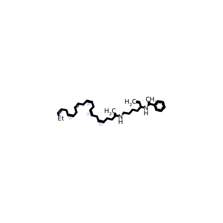 C=CC(CCCCNC(=C)CC/C=C\C/C=C\C/C=C\C/C=C\C/C=C\C/C=C\CC)NC(=C)c1ccccc1